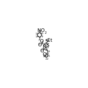 CCSC1=C(C(=O)OCc2ccc([N+](=O)[O-])cc2)N2C(=O)C(=Cc3ccco3)C2S1